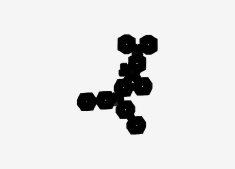 CC1(C)c2cc(N(c3ccccc3)c3ccccc3)ccc2-c2c1c1ccc(N(c3ccc(-c4ccccc4)cc3)c3ccc(-c4ccccc4)cc3)cc1c1ccccc21